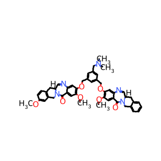 COc1ccc2c(c1)CN1C(=O)c3cc(OC)c(OCc4cc(COc5cc6c(cc5OC)C(=O)N5Cc7ccccc7C[C@H]5C=N6)cc(CN(C)C)c4)cc3N=C[C@@H]1C2